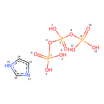 O=P(O)(O)OP(=O)(O)OP(=O)(O)O.c1c[nH]cn1